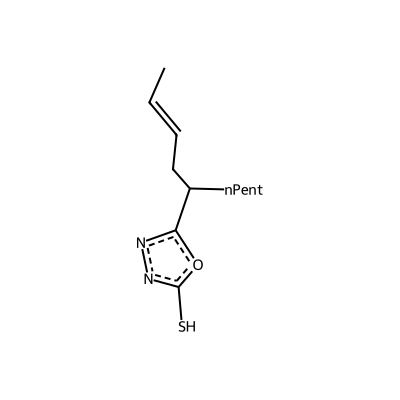 CC=CCC(CCCCC)c1nnc(S)o1